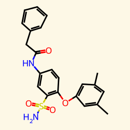 Cc1cc(C)cc(Oc2ccc(NC(=O)Cc3ccccc3)cc2S(N)(=O)=O)c1